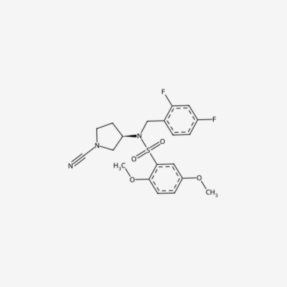 COc1ccc(OC)c(S(=O)(=O)N(Cc2ccc(F)cc2F)[C@@H]2CCN(C#N)C2)c1